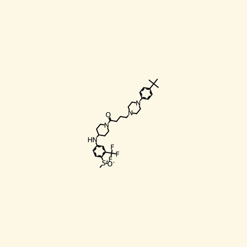 C[S+]([O-])c1ccc(NC2CCN(C(=O)CCCN3CCN(c4ccc(C(C)(C)C)cc4)CC3)CC2)cc1C(F)(F)F